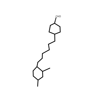 CC1CCC(CCCCCCC2CCC(C=O)CC2)C(C)C1